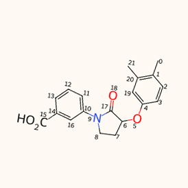 Cc1ccc(OC2CCN(c3cccc(C(=O)O)c3)C2=O)cc1C